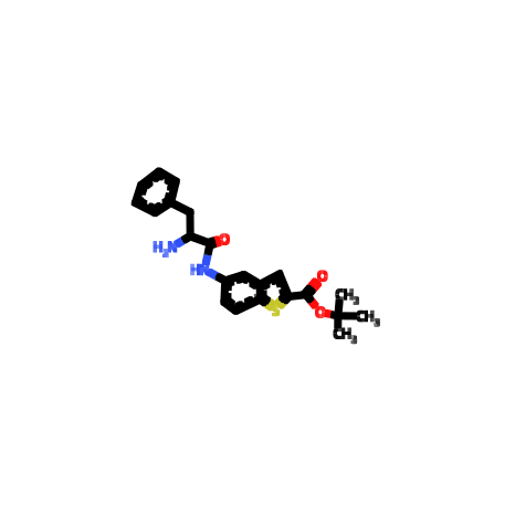 CC(C)(C)OC(=O)c1cc2cc(NC(=O)C(N)Cc3ccccc3)ccc2s1